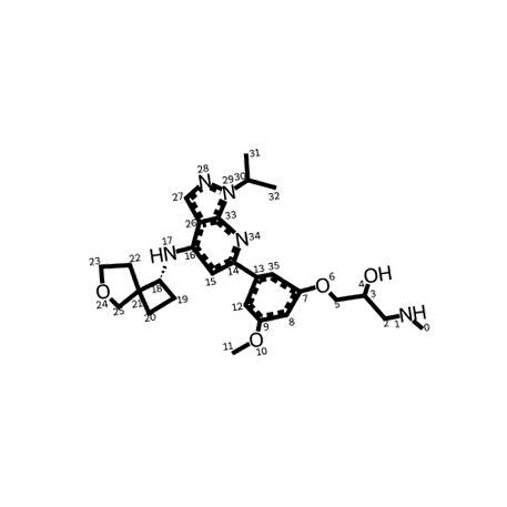 CNCC(O)COc1cc(OC)cc(-c2cc(N[C@@H]3CCC34CCOC4)c3cnn(C(C)C)c3n2)c1